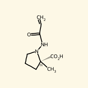 C=CC(=O)NN1CCC[C@@]1(C)C(=O)O